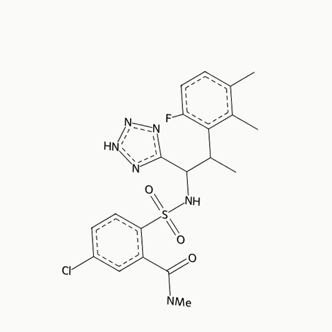 CNC(=O)c1cc(Cl)ccc1S(=O)(=O)NC(c1nn[nH]n1)C(C)c1c(F)ccc(C)c1C